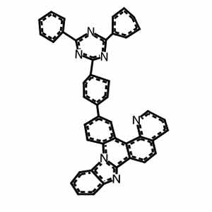 c1ccc(-c2nc(-c3ccccc3)nc(-c3ccc(-c4ccc5c(c4)c4c(ccc6cccnc64)c4nc6ccccc6n54)cc3)n2)cc1